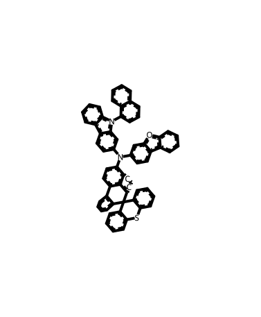 c1ccc2c(c1)Sc1ccccc1C21c2ccccc2-c2ccc(N(c3ccc4c(c3)oc3ccccc34)c3ccc4c5ccccc5n(-c5cccc6ccccc56)c4c3)c3cccc1c23